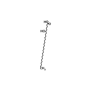 CCCCCCCCCCCCCCCCCCCCCCCC(O)CCCCC(=O)O